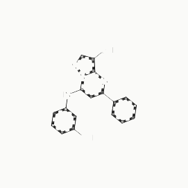 Bc1cnn2c(Nc3cccc(S)c3)cc(-c3ccccc3)nc12